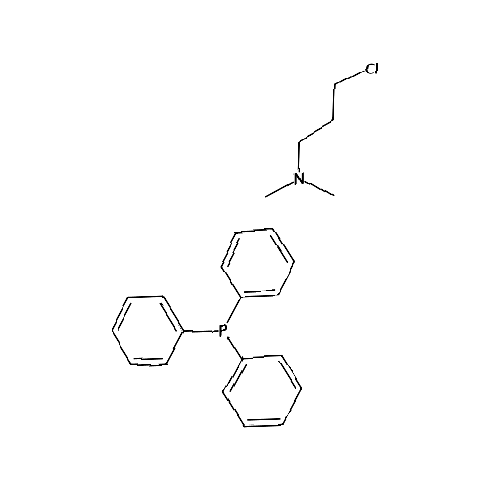 CN(C)CCCCl.c1ccc(P(c2ccccc2)c2ccccc2)cc1